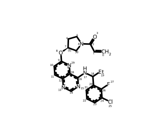 C=CC(=O)N1CC[C@H](Oc2ccc3ncnc(NC(CC)c4cccc(Cl)c4F)c3n2)C1